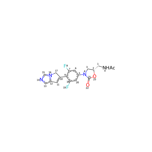 CC(=O)NC[C@H]1CN(c2cc(F)c(C3=Cc4cncn4C3)c(F)c2)C(=O)O1